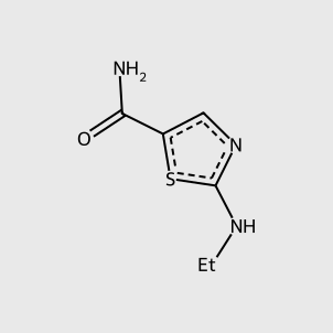 CCNc1ncc(C(N)=O)s1